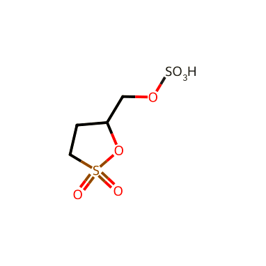 O=S(=O)(O)OCC1CCS(=O)(=O)O1